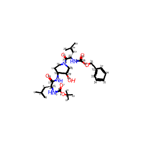 CC(C)C[C@H](NC(=O)OC(C)(C)C)C(=O)NC1CCN(C(=O)[C@H](CC(C)C)NC(=O)OCc2ccccc2)CC1O